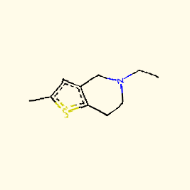 CCN1CCc2sc(C)cc2C1